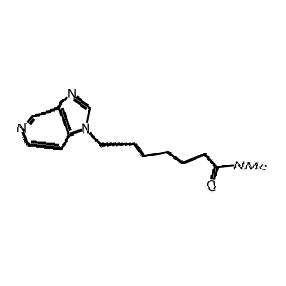 CNC(=O)CCCCCCn1cnc2cnccc21